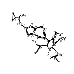 CC(C)Nc1c(F)c(C(F)F)c(-c2cn3cc(NC(=O)C4CC4)nc3cn2)c2cn[nH]c12